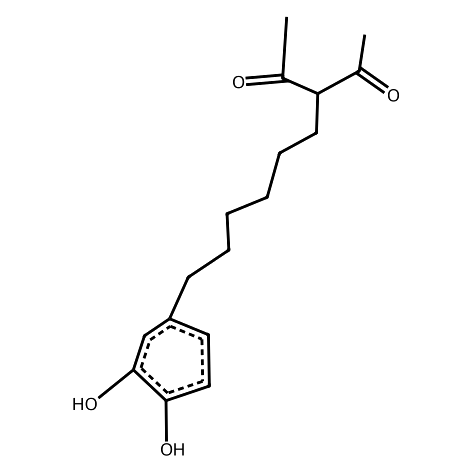 CC(=O)C(CCCCCCc1ccc(O)c(O)c1)C(C)=O